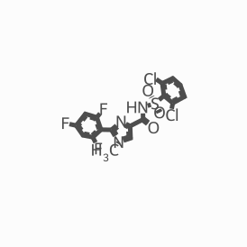 Cn1cc(C(=O)NS(=O)(=O)c2c(Cl)cccc2Cl)nc1-c1c(F)cc(F)cc1F